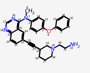 CN(c1ccc(Oc2ccccc2)cc1)c1ncnc2ccc(C#CC3CCCN(CCN)C3)cc12